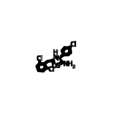 NC(=S)N(NC(=O)Cc1c(Cl)cccc1Cl)c1ccc(Cl)cc1